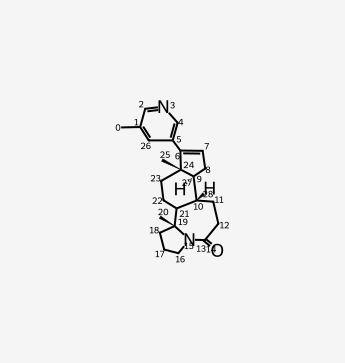 Cc1cncc(C2=CC[C@H]3[C@@H]4CCC(=O)N5CCC[C@]5(C)C4CC[C@]23C)c1